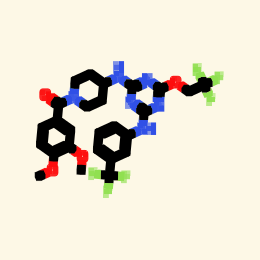 COc1ccc(C(=O)N2CCC(Nc3nc(Nc4cccc(C(F)(F)F)c4)nc(OCC(F)(F)F)n3)CC2)cc1OC